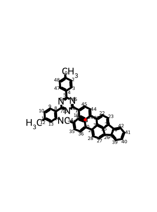 Cc1ccc(-c2nc(-c3ccc(C)cc3)nc(-c3ccc(-c4ccc5c6c(ccc(-c7ccc(C#N)cc7)c46)-c4ccccc4-5)cc3)n2)cc1